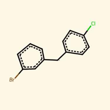 Clc1ccc([CH]c2cccc(Br)c2)cc1